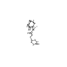 C1=C[C@]2(C[C@H]2NCCC2CCNCC2)NN=N1